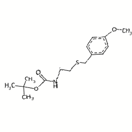 COc1ccc(CSC[CH]NC(=O)OC(C)(C)C)cc1